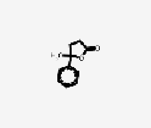 CC1(c2ccccc2)CCC(=O)O1